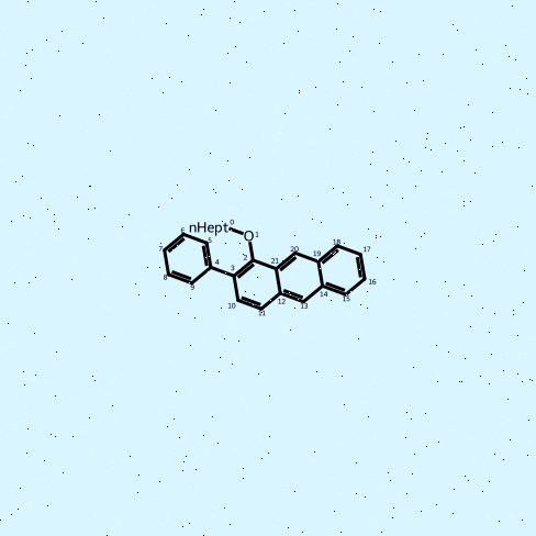 CCCCCCCOc1c(-c2ccccc2)ccc2cc3ccccc3cc12